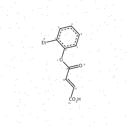 CCc1ccccc1OC(=O)C=CC(=O)O